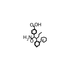 CCCC(c1ccccc1N1CCCCC1)C(C(N)=O)c1ccc(C(=O)O)cc1